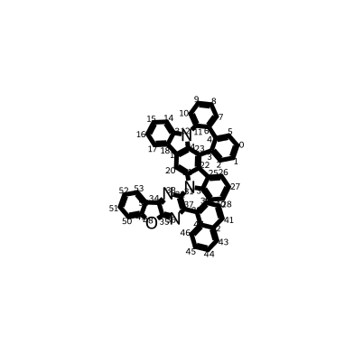 c1ccc2c(c1)-c1ccccc1-n1c3ccccc3c3cc4c(c-2c31)c1ccccc1n4-c1nc2c(nc1-c1cccc3ccccc13)oc1ccccc12